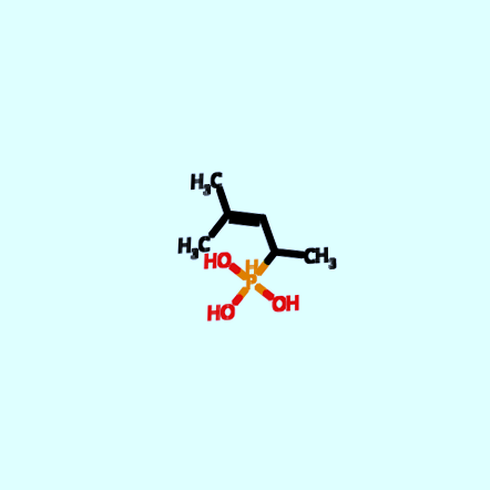 CC(C)=CC(C)[PH](O)(O)O